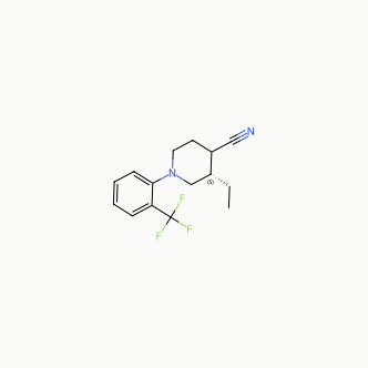 CC[C@@H]1CN(c2ccccc2C(F)(F)F)CCC1C#N